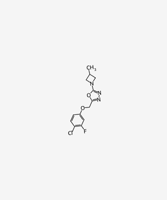 CC1CN(c2nnc(COc3ccc(Cl)c(F)c3)o2)C1